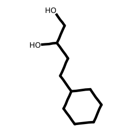 OCC(O)CCC1CCCCC1